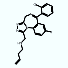 C=CCCNCc1nnc2n1-c1ccc(F)cc1C(c1ccccc1Cl)=NC2